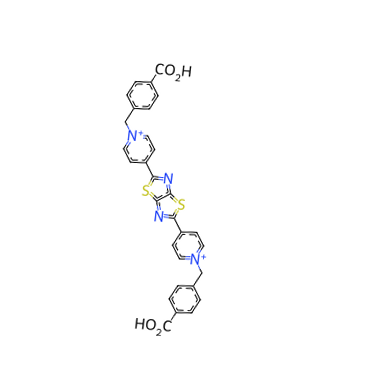 O=C(O)c1ccc(C[n+]2ccc(-c3nc4sc(-c5cc[n+](Cc6ccc(C(=O)O)cc6)cc5)nc4s3)cc2)cc1